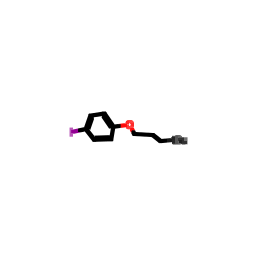 CC(C)(C)CCCOc1ccc(I)cc1